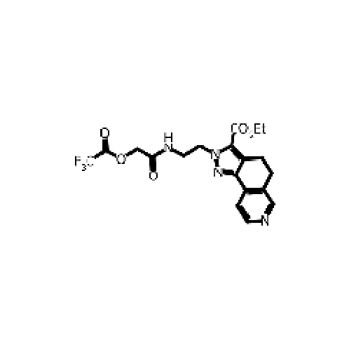 CCOC(=O)c1c2c(nn1CCNC(=O)COC(=O)C(F)(F)F)-c1ccncc1CC2